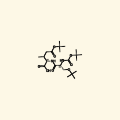 CC(CC(=O)OC(C)(C)C)[C@H](NC(=O)[C@@H](COC(C)(C)C)NC(=O)OC(C)(C)C)C(=O)O